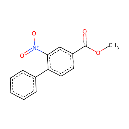 COC(=O)c1ccc(-c2ccccc2)c([N+](=O)[O-])c1